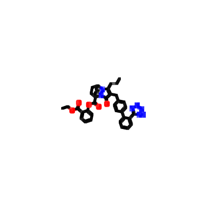 CCCc1c(Cc2ccc(-c3ccccc3-c3nnn[nH]3)cc2)c(=O)n2n1C1CCC2(C(=O)Oc2ccccc2C(=O)OCC)CC1